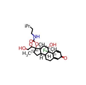 CC(C)CCNC(=O)O[C@]1(C(=O)CO)[C@@H](C)C[C@H]2[C@@H]3CCC4=CC(=O)C=C[C@]4(C)[C@@]3(F)[C@@H](O)C[C@@]21C